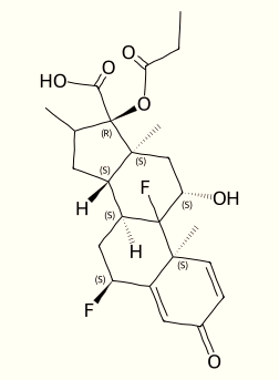 CCC(=O)O[C@]1(C(=O)O)C(C)C[C@H]2[C@@H]3C[C@H](F)C4=CC(=O)C=C[C@]4(C)C3(F)[C@@H](O)C[C@@]21C